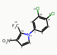 O=[N+]([O-])c1ccn(-c2ccc(Cl)c(Cl)c2)c1C(F)(F)F